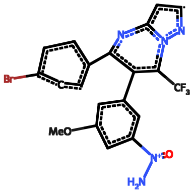 COc1cc(-c2c(-c3ccc(Br)cc3)nc3c[c]nn3c2C(F)(F)F)cc([N+](N)=O)c1